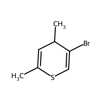 CC1=CC(C)C(Br)=CS1